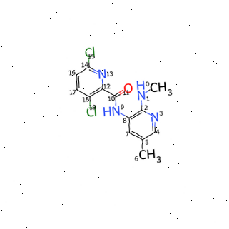 CNc1ncc(C)cc1NC(=O)c1nc(Cl)ccc1Cl